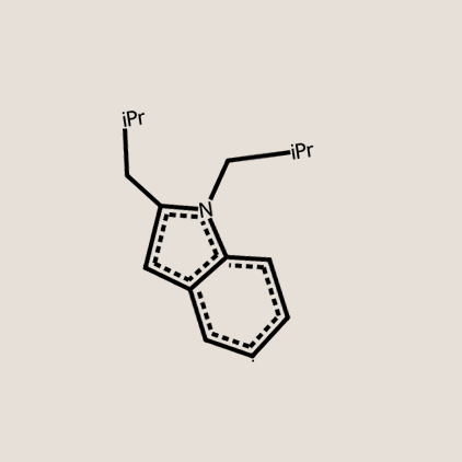 CC(C)Cc1cc2c[c]ccc2n1CC(C)C